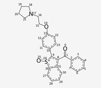 O=C(c1ccccc1)c1c(-c2ccc(OCCN3CCCC3)cc2)[s+]([O-])c2ccccc12